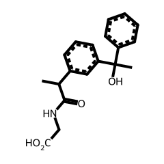 CC(C(=O)NCC(=O)O)c1cccc(C(C)(O)c2ccccc2)c1